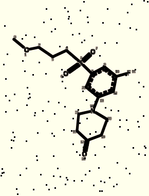 COCCCS(=O)(=O)c1cc(F)cc(N2CCC(=O)CC2)c1